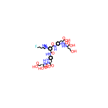 O=C(O)CC[C@H](NC(=O)N[C@@H](Cc1ccc(NC(=O)c2cc(C(=O)Nc3ccc(CC(NC(=O)NC(CCCO)C(=O)O)C(=O)O)cc3)cc(-n3cc(CCCF)nn3)c2)cc1)C(=O)O)C(=O)O